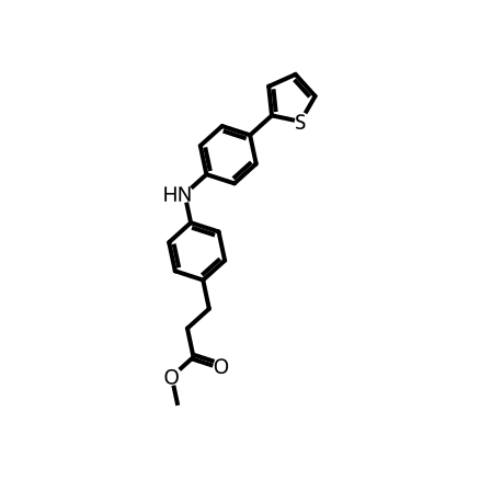 COC(=O)CCc1ccc(Nc2ccc(-c3cccs3)cc2)cc1